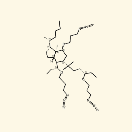 CCCC[C@@H](C)[C@H]1CC[C@H]2C([C@@H](CC)OCCCN=[N+]=[N-])[C@@H](C(C)(C)CC[C@H](CC)OCCCN=[N+]=[N-])C[C@H](OCCCN=[N+]=[N-])[C@]12C